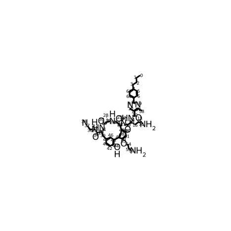 CCCCc1ccc(-c2ncc(C(=O)N[C@@H](CCN)C(=O)N(C)[C@@H]3C(=O)N[C@@H](C)C(=O)N[C@H](C(=O)NCC#N)Cc4ccc(O)c(c4)-c4cc3ccc4OCCN)c(C)n2)cc1